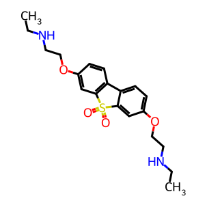 CCNCCOc1ccc2c(c1)S(=O)(=O)c1cc(OCCNCC)ccc1-2